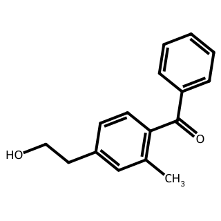 Cc1cc(CCO)ccc1C(=O)c1ccccc1